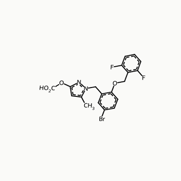 Cc1cc(OC(=O)O)nn1Cc1cc(Br)ccc1OCc1c(F)cccc1F